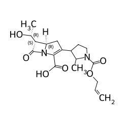 C=CCOC(=O)N1CCC(C2=C(C(=O)O)N3C(=O)[C@H]([C@@H](C)O)[C@H]3C2)C1C